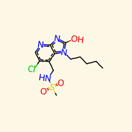 CCCCCn1c(O)nc2ncc(Cl)c(CNS(C)(=O)=O)c21